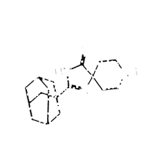 O=C1NC(C23CC4CC(CC(C4)C2)C3)=NC12CCNCC2